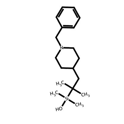 CC(C)(CC1CCN(Cc2ccccc2)CC1)[Si](C)(C)O